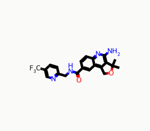 CC1(C)OCc2c1c(N)nc1ccc(C(=O)NCc3ccc(C(F)(F)F)cn3)cc21